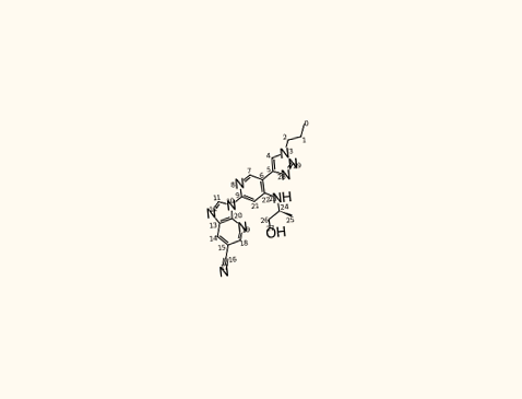 CCCn1cc(-c2cnc(-n3cnc4cc(C#N)cnc43)cc2N[C@@H](C)CO)nn1